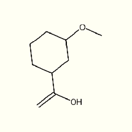 C=C(O)C1CCCC(OC)C1